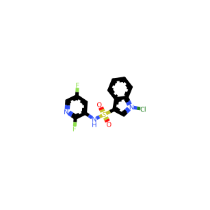 O=S(=O)(Nc1cc(F)cnc1F)c1cn(Cl)c2ccccc12